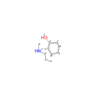 CCCNC.Oc1ccccc1